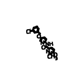 Cn1nc(C(=O)Nc2ccc(OCc3cccc(Cl)c3)cn2)ccc1=O